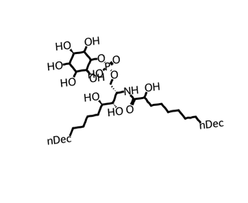 CCCCCCCCCCCCCCCCC(O)C(=O)N[C@@H](COP(=O)(O)OC1C(O)C(O)C(O)[C@@H](O)C1O)[C@H](O)[C@H](O)CCCCCCCCCCCCCC